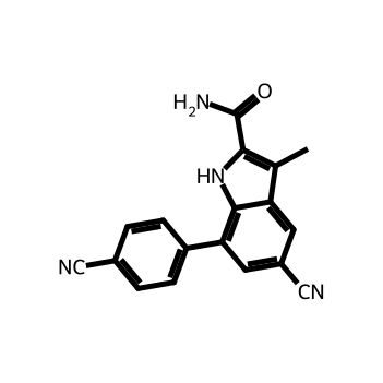 Cc1c(C(N)=O)[nH]c2c(-c3ccc(C#N)cc3)cc(C#N)cc12